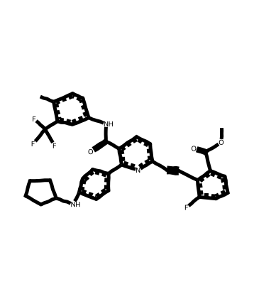 COC(=O)c1cccc(F)c1C#Cc1ccc(C(=O)Nc2ccc(C)c(C(F)(F)F)c2)c(-c2ccc(NC3CCCC3)cc2)n1